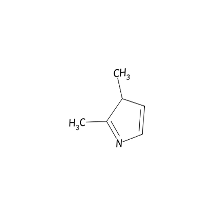 CC1=NC=CC1C